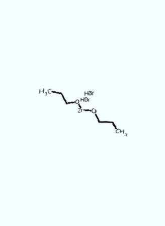 Br.Br.CCC[O][Zr][O]CCC